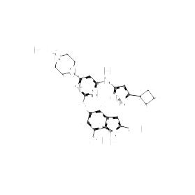 Cc1cc2cc(Oc3nc(Nc4cc(C5CCC5)no4)cc(N4CCN(C)CC4)n3)cc(C)c2[nH]1